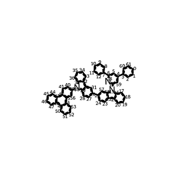 c1ccc(-c2cc(-c3ccccc3)nc(-n3c4ccccc4c4ccc(-c5ccc6c(c5)c5ccccc5n6-c5ccc6c7ccccc7c7ccccc7c6c5)cc43)c2)cc1